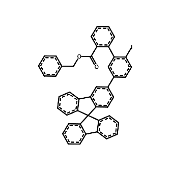 O=C(OCc1ccccc1)c1ccccc1-c1cc(-c2ccc3c(c2)-c2ccccc2C32c3ccccc3-c3ccccc32)ccc1I